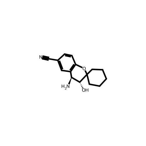 N#Cc1ccc2c(c1)[C@H](N)[C@@H](O)C1(CCCCC1)O2